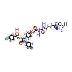 N[C@H](CCCCNC(=O)CNC(=O)COc1ccc([C@@H]2[C@@H](SCC(O)c3ccc(F)cc3)C(=O)N2c2ccc(F)cc2)cc1)C(=O)O